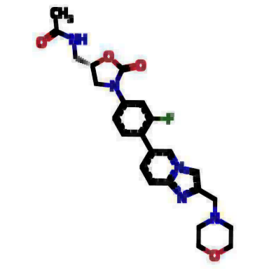 CC(=O)NC[C@H]1CN(c2ccc(-c3ccc4nc(CN5CCOCC5)cn4c3)c(F)c2)C(=O)O1